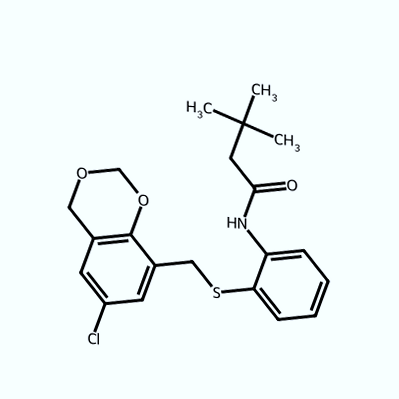 CC(C)(C)CC(=O)Nc1ccccc1SCc1cc(Cl)cc2c1OCOC2